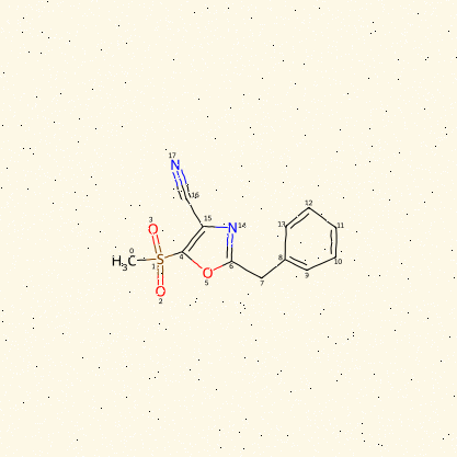 CS(=O)(=O)c1oc(Cc2ccccc2)nc1C#N